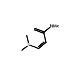 C=C(/C=C\N(C)C)NC